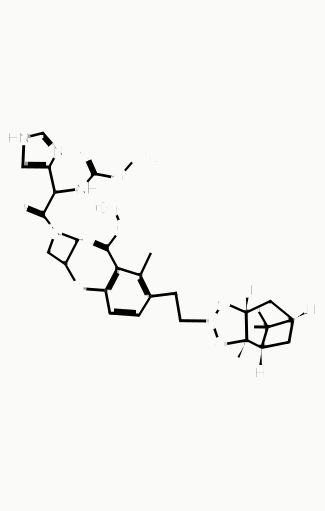 Cc1c(CCB2O[C@@H]3C[C@@H]4C[C@@H](C4(C)C)[C@]3(C)O2)ccc(OC2CN(C(=O)C(NC(=O)OC(C)(C)C)c3c[nH]cn3)C2)c1C(=O)OC(C)(C)C